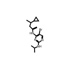 C=C(CC(C)C1CC1)Nc1nc(NC(C)C)ncc1Br